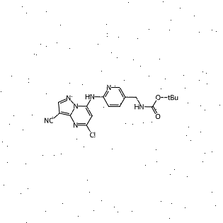 CC(C)(C)OC(=O)NCc1ccc(Nc2cc(Cl)nc3c(C#N)cnn23)nc1